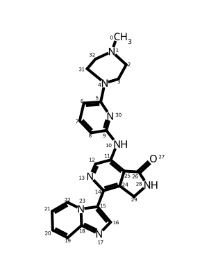 CN1CCN(c2cccc(Nc3cnc(-c4cnc5ccccn45)c4c3C(=O)NC4)n2)CC1